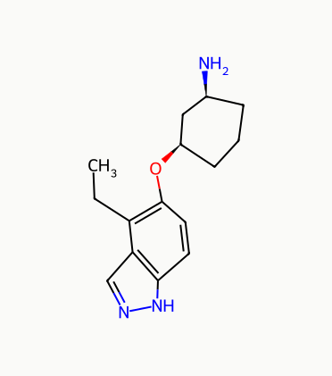 CCc1c(O[C@@H]2CCC[C@H](N)C2)ccc2[nH]ncc12